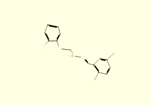 Cc1ccc(C)c(/C=N/NCSc2ccccc2N)c1